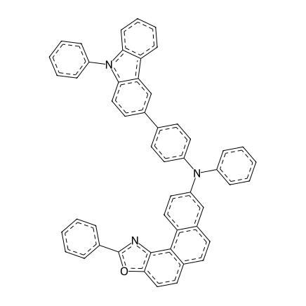 c1ccc(-c2nc3c(ccc4ccc5cc(N(c6ccccc6)c6ccc(-c7ccc8c(c7)c7ccccc7n8-c7ccccc7)cc6)ccc5c43)o2)cc1